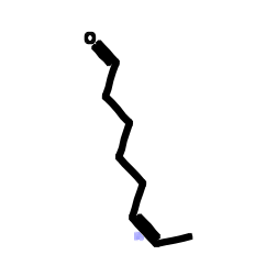 C/C=C\CCCCC=O